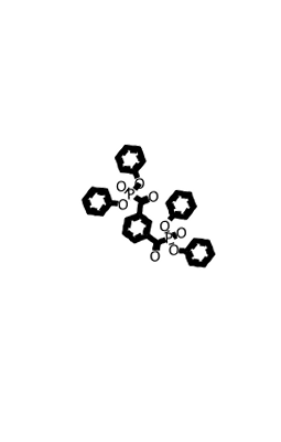 O=C(c1cccc(C(=O)P(=O)(Oc2ccccc2)Oc2ccccc2)c1)P(=O)(Oc1ccccc1)Oc1ccccc1